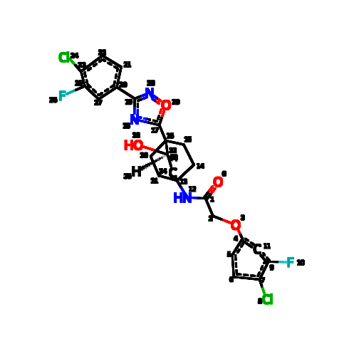 O=C(COc1ccc(Cl)c(F)c1)NC12CCC(c3nc(-c4ccc(Cl)c(F)c4)no3)(CC1)[C@H](O)C2